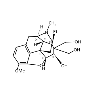 CC[C@@H]1[C@H]2[C@H]3Cc4ccc(OC)c5c4[C@@]2(CCN3C)[C@@H](O5)[C@H](O)C1(CO)CO